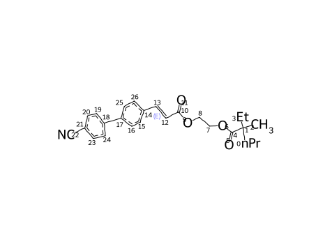 CCCC(C)(CC)C(=O)OCCOC(=O)/C=C/c1ccc(-c2ccc(C#N)cc2)cc1